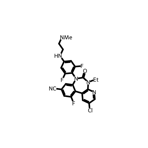 CCN1C(=O)N(c2c(F)cc(NCCNC)cc2F)c2cc(C#N)cc(F)c2-c2cc(Cl)cnc21